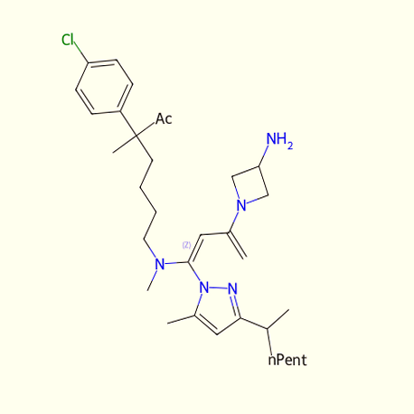 C=C(/C=C(/N(C)CCCCC(C)(C(C)=O)c1ccc(Cl)cc1)n1nc(C(C)CCCCC)cc1C)N1CC(N)C1